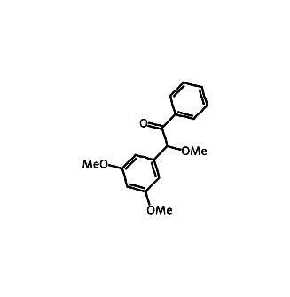 COc1cc(OC)cc(C(OC)C(=O)c2ccccc2)c1